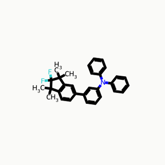 CC1(C)c2ccc(-c3cccc(N(c4ccccc4)c4ccccc4)c3)cc2C(C)(C)C1(F)F